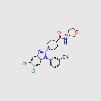 N#Cc1cccc(-n2c(N3CCC(C(=O)N[C@@H]4CCOC4)CC3)nc3cc(Cl)c(Cl)cc32)c1